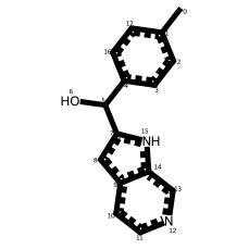 Cc1ccc(C(O)c2cc3ccncc3[nH]2)cc1